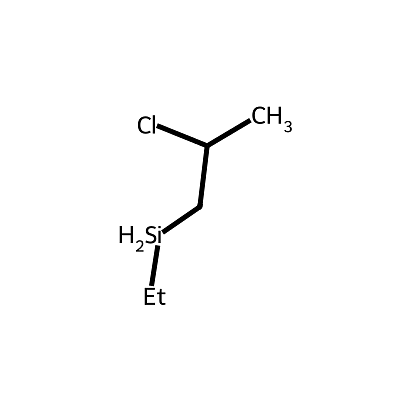 CC[SiH2]CC(C)Cl